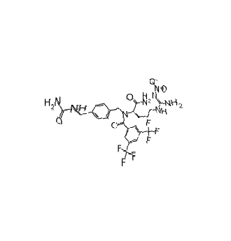 NC(=O)NCc1ccc(CN(C(=O)c2cc(C(F)(F)F)cc(C(F)(F)F)c2)[C@H](CCCNC(N)=N[N+](=O)[O-])C(N)=O)cc1